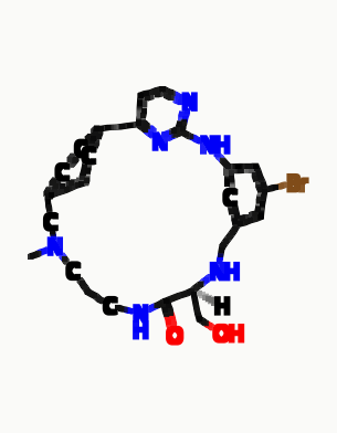 CN1CCCNC(=O)[C@H](CO)NCc2cc(Br)cc(c2)Nc2nccc(n2)-c2ccc(cc2)C1